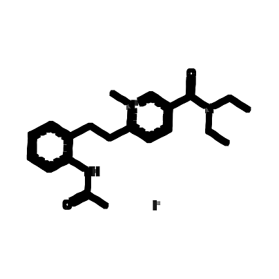 CCN(CC)C(=O)c1ccc(CCc2ccccc2NC(C)=O)[n+](C)c1.[I-]